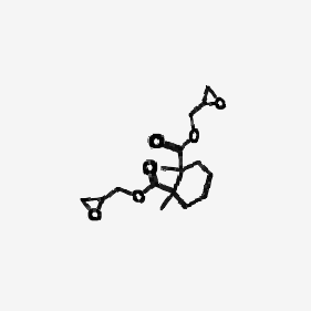 CC1(C(=O)OCC2CO2)CC=CCC1(C)C(=O)OCC1CO1